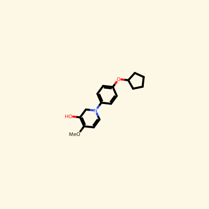 COC1=C(O)CN(c2ccc(OC3CCCC3)cc2)C=C1